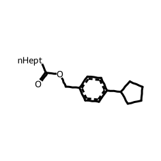 CCCCCCCC(=O)OCc1ccc(C2CCCC2)cc1